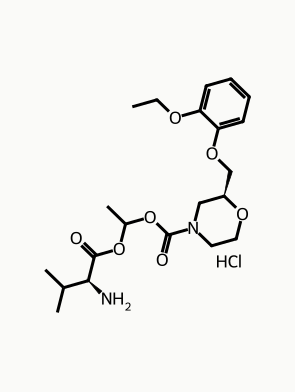 CCOc1ccccc1OC[C@@H]1CN(C(=O)OC(C)OC(=O)[C@@H](N)C(C)C)CCO1.Cl